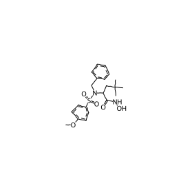 COc1ccc(S(=O)(=O)N(Cc2ccccc2)C(CC(C)(C)C)C(=O)NO)cc1